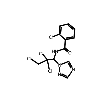 O=C(NC(n1cncn1)C(Cl)(Cl)CCl)c1ccccc1Cl